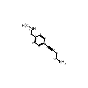 CNCc1ccc(C#CCCN)cc1